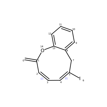 C=C1/C=C\C=C(\I)Cc2ccccc2O1